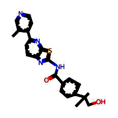 Cc1cnccc1-c1ccc2nc(NC(=O)c3ccc(C(C)(C)CO)cc3)sc2n1